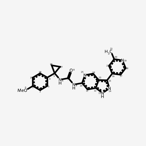 COc1ccc(C2(NC(=O)Nc3cc4[nH]nc(-c5ccnc(C)c5)c4cn3)CC2)cc1